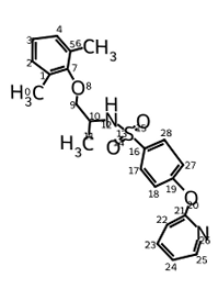 Cc1cccc(C)c1OCC(C)NS(=O)(=O)c1ccc(Oc2ccccn2)cc1